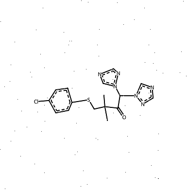 CC(C)(CSc1ccc(Cl)cc1)C(=O)C(n1cncn1)n1cncn1